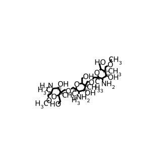 COC[C@]1(C)OC(CO)[C@@](C)(COC[C@]2(C)OC(CO)[C@@](C)(COC[C@]3(C)OC(CO)[C@@](C)(COC)[C@@H](O)C3N)[C@@H](O)C2N)[C@@H](O)C1N